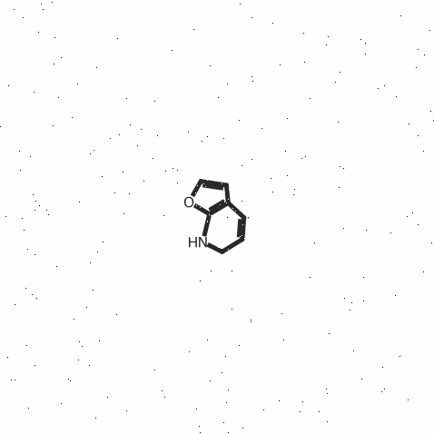 [C]1=CCNc2occc21